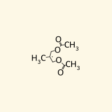 C[C](COC(C)=O)COC(C)=O